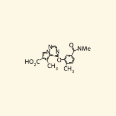 CNC(=O)c1ccc(C)c(Oc2ncnn3cc(C(=O)O)c(C)c23)c1